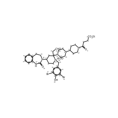 CCOC(=O)CCC(=O)N1CCC(N2CCN(C3(CC=O)CC(N4CCc5ccccc5NC4=O)CC[N@+]3(Cc3cc(Br)c(O)c(Br)c3)C(=O)[O-])CC2)CC1